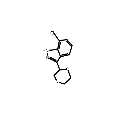 Clc1cccc2c(C3CNCCO3)n[nH]c12